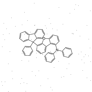 c1ccc(N(c2ccccc2)c2cccc3oc4c(C5(c6ccccc6)c6ccccc6-c6ccccc65)cccc4c23)cc1